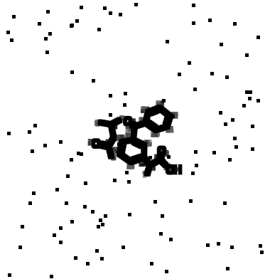 CC(=O)CC(C)C.CC(C(=O)O)c1cccc(C(=O)c2ccccc2)c1